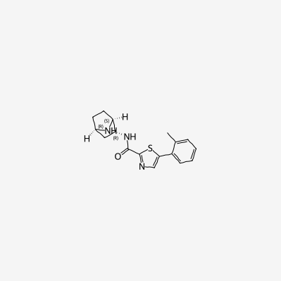 Cc1ccccc1-c1cnc(C(=O)N[C@@H]2C[C@H]3CC[C@@H]2N3)s1